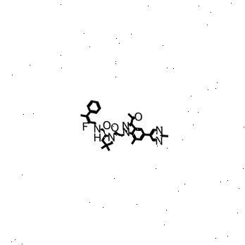 CC(=O)c1nn(CC(=O)N2CC(C)(C)C[C@H]2C(=O)NC/C(F)=C(/C)c2ccccc2)c2c(C)cc(-c3cnc(C)nc3)cc12